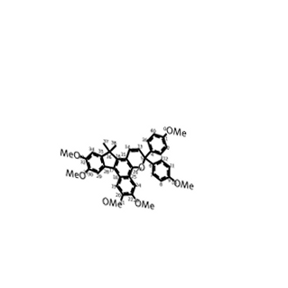 COc1ccc(C2(c3ccc(OC)cc3)C=Cc3c4c(c5cc(OC)c(OC)cc5c3O2)-c2cc(OC)c(OC)cc2C4(C)C)cc1